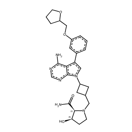 NC(=O)[C@@H]1[C@H](O)CCN1CC1CC(n2cc(-c3cccc(OCC4CCCO4)c3)c3c(N)ncnc32)C1